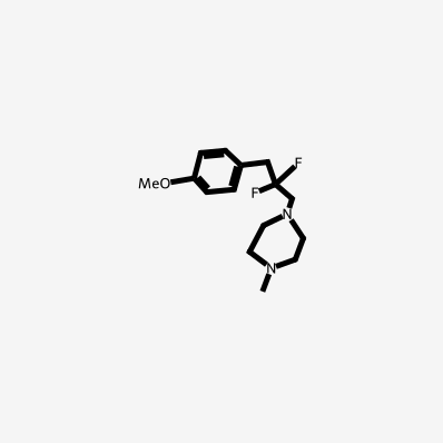 COc1ccc(CC(F)(F)CN2CCN(C)CC2)cc1